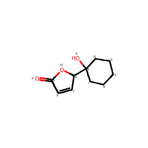 O=C1C=CC(C2(O)CCCCC2)O1